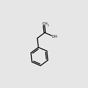 C=C(O)Cc1[c]cccc1